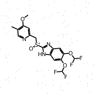 COc1cc(C[S+]([O-])c2nc3cc(OC(F)F)c(OC(F)F)cc3[nH]2)ncc1C